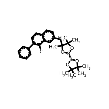 CC1(C)OB(B2OC(C)(C)C(C)(Cc3ccc4ccc(-c5ccccc5)c(Cl)c4c3)O2)OC1(C)C